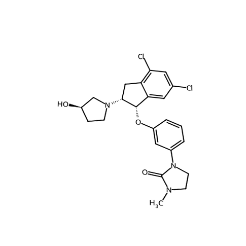 CN1CCN(c2cccc(O[C@H]3c4cc(Cl)cc(Cl)c4C[C@H]3N3CC[C@@H](O)C3)c2)C1=O